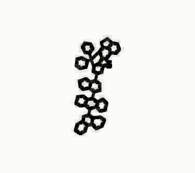 c1ccc(C2(c3ccccc3)c3cc(-c4ccc(-c5c6ccccc6c(-c6cc7ccccc7c7ccccc67)c6ccccc56)c5ccccc45)cc4sc5c6cccc7c6c(c2c5c34)CC7)cc1